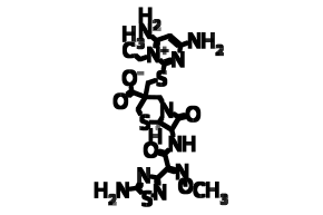 CC[n+]1c(N)cc(N)nc1SCC1(C(=O)[O-])CS[C@@H]2C(NC(=O)C(=NOC)c3nsc(N)n3)C(=O)N2C1